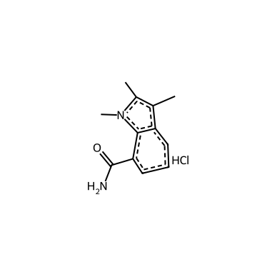 Cc1c(C)n(C)c2c(C(N)=O)cccc12.Cl